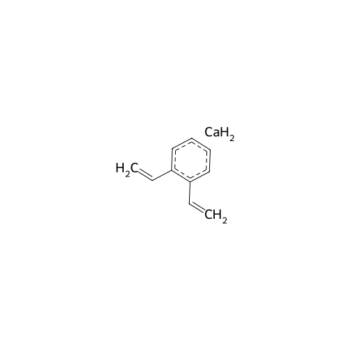 C=Cc1ccccc1C=C.[CaH2]